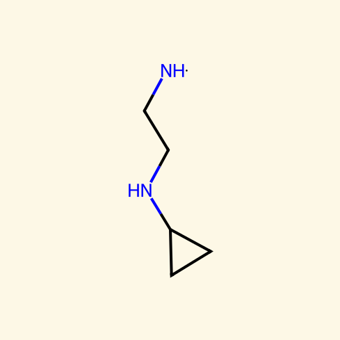 [NH]CCNC1CC1